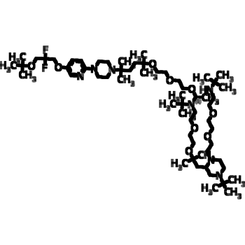 C[C@H](OCCOCCOC(C)(C)CCC(C)(C)N1CCN(c2ccc(OCC(F)(F)COC(C)(C)C)cn2)CC1)N(CCOCCOC(C)(C)CC1CN(C(C)(C)C)CCN1CCOCCOCCNC(C)(C)C)C(C)(C)C